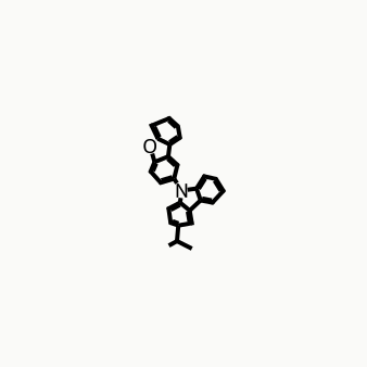 CC(C)c1ccc2c(c1)c1ccccc1n2-c1ccc2oc3ccccc3c2c1